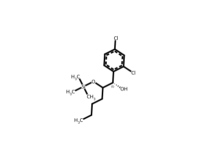 CCCCC(O[Si](C)(C)C)[C@@H](O)c1ccc(Cl)cc1Cl